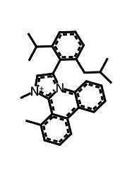 Cc1cccc2c3ccccc3n3c(-c4c(CC(C)C)cccc4C(C)C)c[n+](C)c3c12